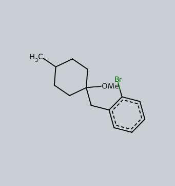 COC1(Cc2ccccc2Br)CCC(C)CC1